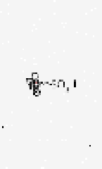 O=C(OCCCCS(=O)(=O)O)C1C2CC3OC(=O)C1C3C2